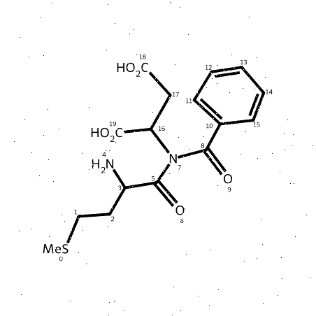 CSCCC(N)C(=O)N(C(=O)c1ccccc1)C(CC(=O)O)C(=O)O